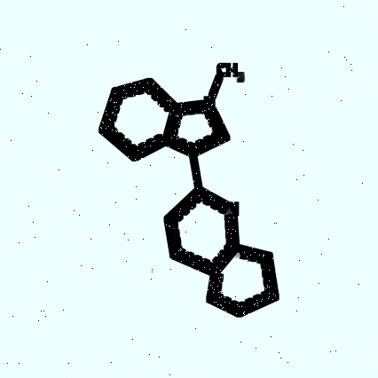 Cn1cc(-c2ccc3ccccc3n2)c2ccccc21